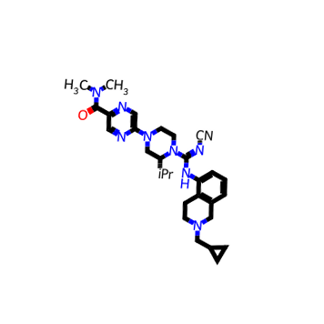 CC(C)C1CN(c2cnc(C(=O)N(C)C)cn2)CCN1/C(=N\C#N)Nc1cccc2c1CCN(CC1CC1)C2